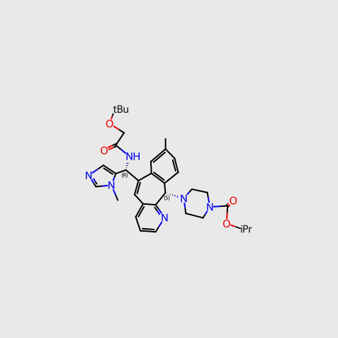 Cc1ccc2c(c1)C([C@@H](NC(=O)COC(C)(C)C)c1cncn1C)=Cc1cccnc1[C@H]2N1CCN(C(=O)OC(C)C)CC1